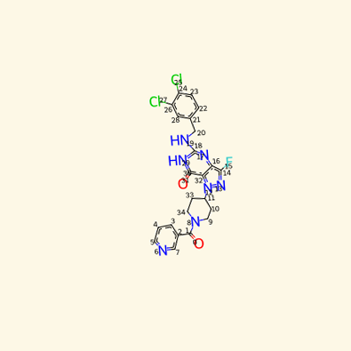 O=C(c1cccnc1)N1CCC(n2nc(F)c3nc(NCc4ccc(Cl)c(Cl)c4)[nH]c(=O)c32)CC1